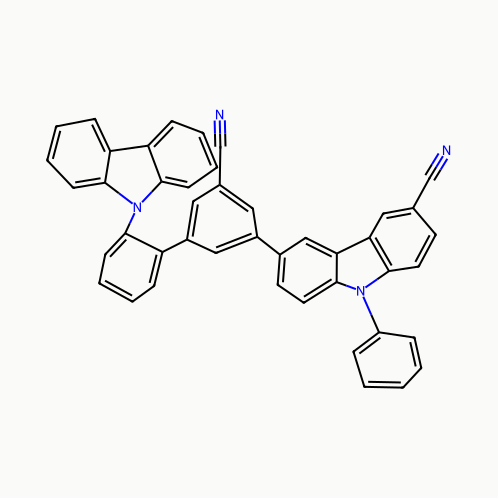 N#Cc1cc(-c2ccc3c(c2)c2cc(C#N)ccc2n3-c2ccccc2)cc(-c2ccccc2-n2c3ccccc3c3ccccc32)c1